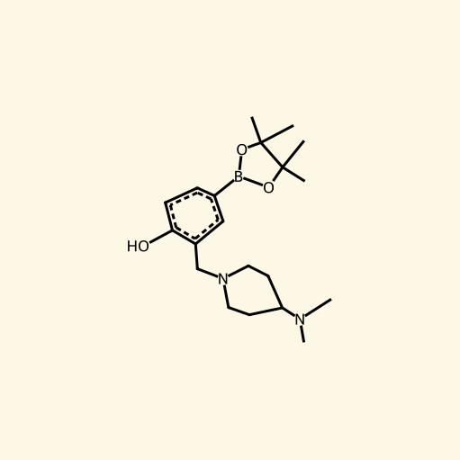 CN(C)C1CCN(Cc2cc(B3OC(C)(C)C(C)(C)O3)ccc2O)CC1